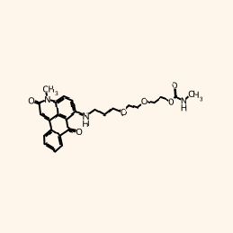 CNC(=O)OCCOCCOCCCNc1ccc2c3c(cc(=O)n2C)-c2ccccc2C(=O)c13